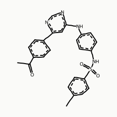 CC(=O)c1ccc(-c2cc(Nc3ccc(NS(=O)(=O)c4ccc(C)cc4)cc3)ncn2)cc1